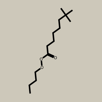 CCCCOOC(=O)CCCCCC(C)(C)C